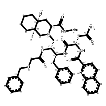 CC(C)(C)NC(=O)[C@@H]1C[C@@H]2CCCC[C@@H]2CN1C[C@@H](OC(=O)COCc1ccccc1)[C@H](Cc1ccccc1)NC(=O)[C@H](CC(N)=O)NC(=O)c1ccc2ccccc2n1